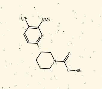 COc1nc([C@H]2CCCN(C(=O)OC(C)(C)C)C2)ccc1N